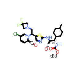 CC1CCC([C@H](NC(=O)OC(C)(C)C)C(=C=O)Nc2ncc(C(CN3CC(F)(F)C3)N3C=C(Cl)C=CC3=C=O)s2)CC1